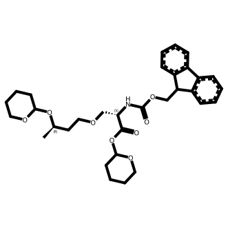 C[C@H](CCOC[C@H](NC(=O)OCC1c2ccccc2-c2ccccc21)C(=O)OC1CCCCO1)OC1CCCCO1